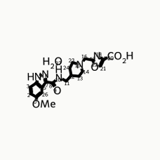 COc1ccc2[nH]nc(C(=O)NCC3CCN(Cc4nc(C(=O)O)co4)CC3)c2c1.O